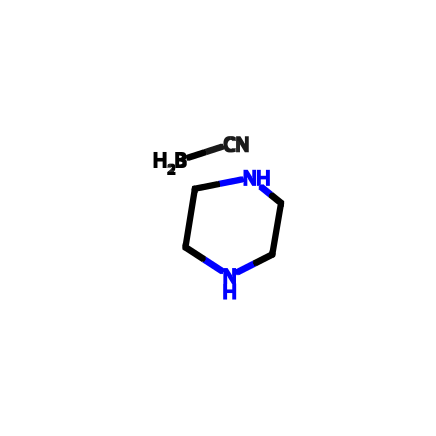 BC#N.C1CNCCN1